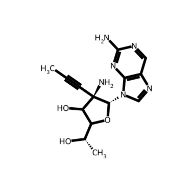 CC#C[C@@]1(N)C(O)C([C@H](C)O)O[C@H]1n1cnc2cnc(N)nc21